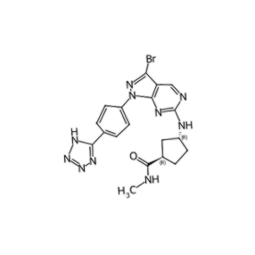 CNC(=O)[C@@H]1CC[C@@H](Nc2ncc3c(Br)nn(-c4ccc(-c5nnn[nH]5)cc4)c3n2)C1